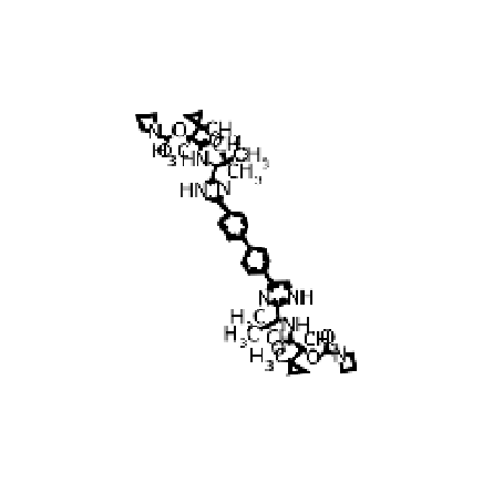 CC(C)(C)[C@H](NC(=O)C(C)(OC(=O)N1CCC1)C1(C)CC1)c1nc(-c2ccc(-c3ccc(-c4c[nH]c([C@@H](NC(=O)C(C)(OC(=O)N5CCC5)C5(C)CC5)C(C)(C)C)n4)cc3)cc2)c[nH]1